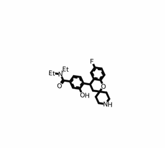 CCN(CC)C(=O)c1ccc(C2CC3(CCNCC3)Oc3ccc(F)cc32)c(O)c1